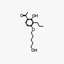 CCCc1c(OCCCCCO)ccc(C(C)=O)c1O